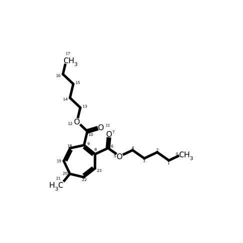 CCCCCOC(=O)C1=C(C(=O)OCCCCC)C=CC(C)C=C1